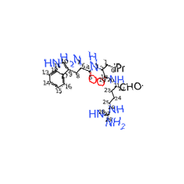 CC(C)C[C@H](NC(=O)[C@@H](N)Cc1c[nH]c2ccccc12)C(=O)N[C@H]([C]=O)CCCNC(=N)N